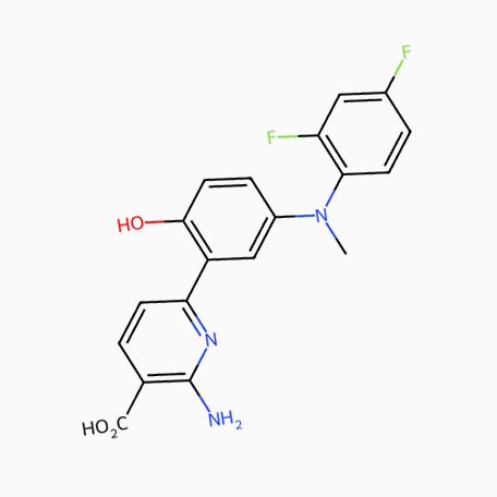 CN(c1ccc(O)c(-c2ccc(C(=O)O)c(N)n2)c1)c1ccc(F)cc1F